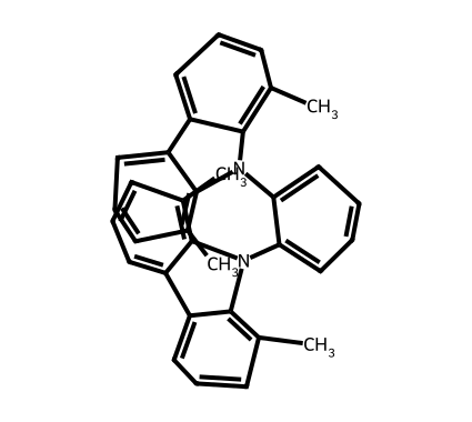 Cc1cccc2c3cccc(C)c3n(-c3ccccc3-n3c4c(C)cccc4c4cccc(C)c43)c12